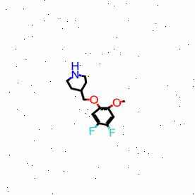 COc1cc(F)c(F)cc1OCC1CCNCC1